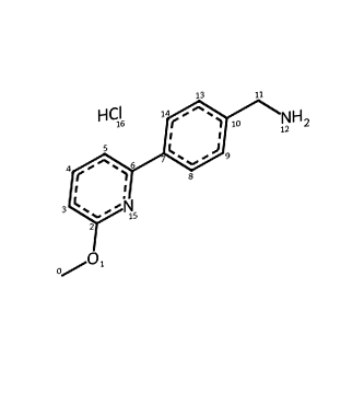 COc1cccc(-c2ccc(CN)cc2)n1.Cl